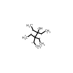 CCC(S)(CC)C(CC)(CC)CC